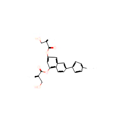 C=C(CO)C(=O)Oc1cc(OC(=O)C(=C)CO)c2ccc(-c3ccc(CCCCC)cc3)cc2c1